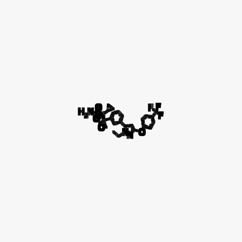 CCn1nc(Oc2ccc(C(F)(F)F)cc2)cc1-c1cccc(C2(N(C3CC3)S(N)(=O)=O)COC2)c1